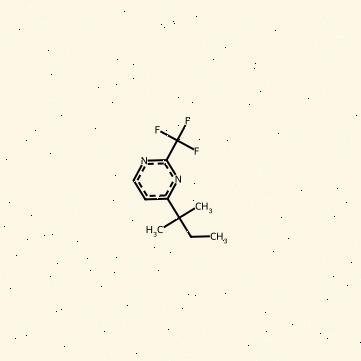 CCC(C)(C)c1ccnc(C(F)(F)F)n1